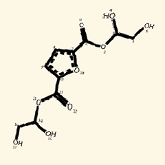 O=C(OC(O)CO)c1ccc(C(=O)OC(O)CO)o1